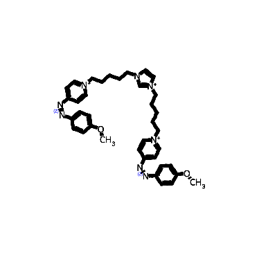 COc1ccc(/N=N\c2cc[n+](CCCCCn3cc[n+](CCCCC[n+]4ccc(/N=N\c5ccc(OC)cc5)cc4)c3)cc2)cc1